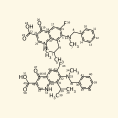 CC(C)Cc1c(N(C)Cc2ccccc2)c(F)cc2c(=O)c(C(=O)O)c[nH]c12.CC(C)c1c(N(C)Cc2ccccc2)c(F)cc2c(=O)c(C(=O)O)c[nH]c12